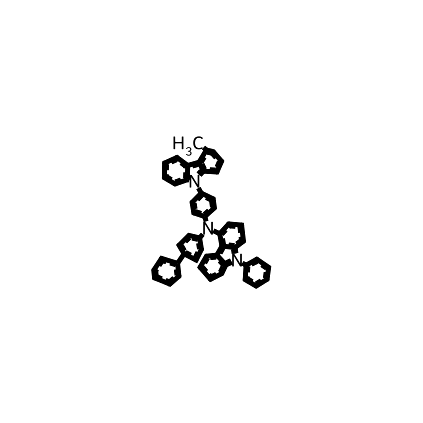 Cc1cccc2c1c1ccccc1n2-c1ccc(N(c2ccc(-c3ccccc3)cc2)c2cccc3c2c2ccccc2n3-c2ccccc2)cc1